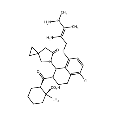 C/C(=C(/N)COc1ccc(Cl)c2c1C(N1CC3(CC3)CC1=O)N(C(=O)[C@@H]1CCCC[C@]1(C)C(=O)O)CC2)N(C)N